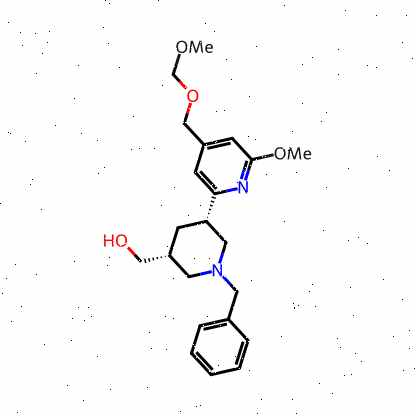 COCOCc1cc(OC)nc([C@H]2C[C@@H](CO)CN(Cc3ccccc3)C2)c1